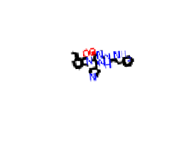 CCc1cccc2c1C(=O)N(c1c(-c3ccncc3)nc(NC[C@@H](N)Cc3ccccc3)n(C)c1=O)C2